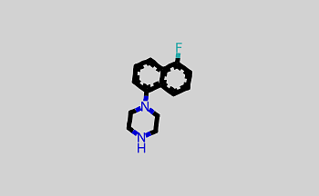 Fc1cccc2c(N3CCNCC3)cccc12